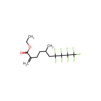 C=C(CCC(C)CC(F)(F)C(F)(F)C(F)(F)C(F)(F)F)C(=O)OCC